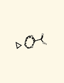 C1CC1.O=C(O)c1ncccn1